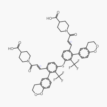 O=C(O)C1CCN(C(=O)/C=C/c2ccc(Sc3ccc(/C=C/C(=O)N4CCC(C(=O)O)CC4)c(-c4ccc5c(c4)CCOO5)c3C(F)(F)F)c(C(F)(F)F)c2-c2ccc3c(c2)CCOO3)CC1